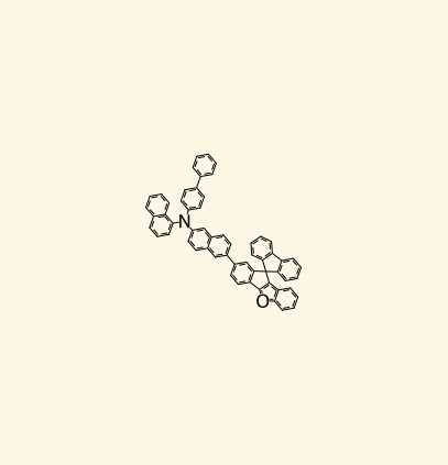 c1ccc(-c2ccc(N(c3ccc4cc(-c5ccc6c(c5)C5(c7ccccc7-c7ccccc75)c5c-6oc6ccccc56)ccc4c3)c3cccc4ccccc34)cc2)cc1